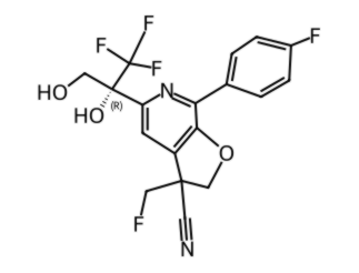 N#CC1(CF)COc2c1cc([C@@](O)(CO)C(F)(F)F)nc2-c1ccc(F)cc1